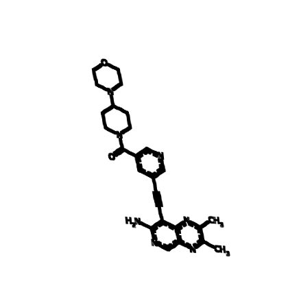 Cc1nc2cnc(N)c(C#Cc3cncc(C(=O)N4CCC(N5CCOCC5)CC4)c3)c2nc1C